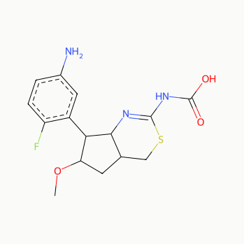 COC1CC2CSC(NC(=O)O)=NC2C1c1cc(N)ccc1F